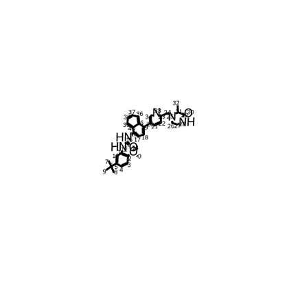 COc1ccc(C(C)(C)C)cc1NC(=O)Nc1ccc(-c2ccc(CN3CCNC(=O)C3C)nc2)c2ccccc12